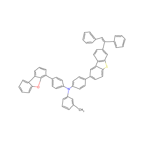 Cc1cccc(N(c2ccc(-c3ccc4sc5cc(/C(=C\c6ccccc6)c6ccccc6)ccc5c4c3)cc2)c2ccc(-c3cccc4c3oc3ccccc34)cc2)c1